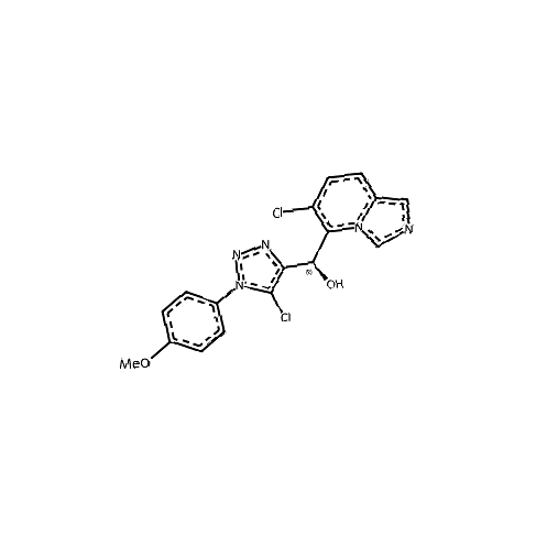 COc1ccc(-n2nnc([C@H](O)c3c(Cl)ccc4cncn34)c2Cl)cc1